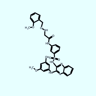 COc1cc(O)cc(Nc2nc3ccccc3nc2NS(=O)(=O)c2cccc(NC(=O)CNOCc3ccccc3OC)c2)c1